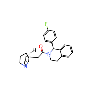 O=C(C[C@H]1CN2CCC1CC2)N1CCc2ccccc2[C@@H]1c1ccc(F)cc1